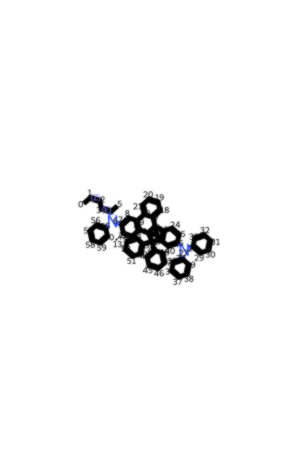 C/C=C\C=C(/C)N(C1=CC2=C(C[C@@H]1C)C13CC1(c1ccccc12)c1ccc(N(c2ccccc2)c2ccccc2)cc1C3(c1ccccc1)c1ccccc1)c1ccccc1